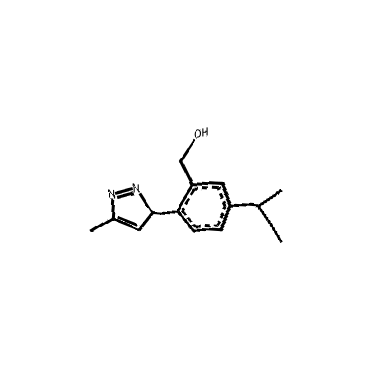 CC1=CC(c2ccc(C(C)C)cc2CO)N=N1